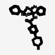 CC(=O)N(OCc1ccccc1)C(NC(=O)c1ccc(N2CCNCC2)cc1)(C(=O)O)c1ccccc1